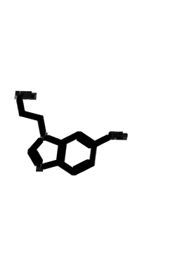 COc1ccc2ncn(CCNC(C)=O)c2c1